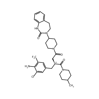 CC1CCN(C(=O)[C@H](CC(=O)N2CCC(N3CCc4ccccc4NC3=O)CC2)Cc2cc(Cl)c(N)c(C(F)(F)F)c2)CC1